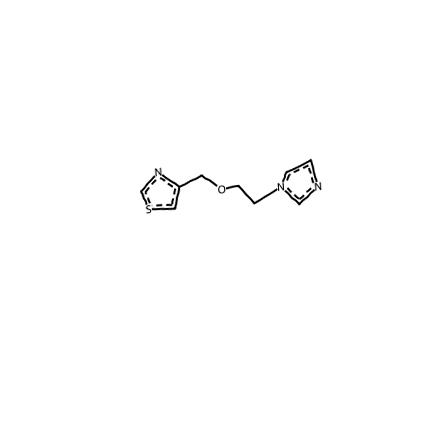 c1cn(CCOCc2cscn2)cn1